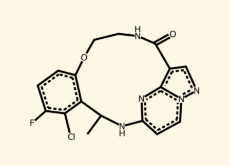 CC1Nc2ccn3ncc(c3n2)C(=O)NCCOc2ccc(F)c(Cl)c21